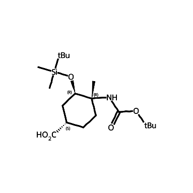 CC(C)(C)OC(=O)N[C@]1(C)CC[C@H](C(=O)O)C[C@H]1O[Si](C)(C)C(C)(C)C